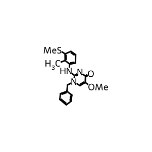 COc1cn(Cc2ccccc2)c(Nc2cccc(SC)c2C)nc1=O